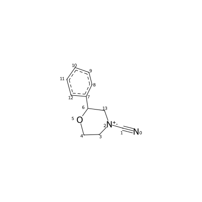 N#C[N+]1CCOC(c2ccccc2)C1